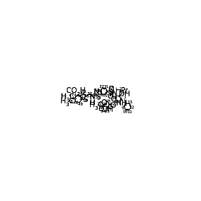 CC(C)CN(C[C@@H](O)[C@H](Cc1ccccc1)NC(=O)O[C@H]1CO[C@@]2(C)OCC[C@@H]12)S(=O)(=O)c1ccc2nc(NCc3sc4c(c3C(=O)O)CC(C)(C)CC4)sc2c1